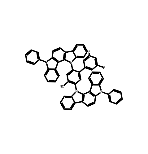 N#Cc1cc(-n2c3ccccc3c3ccc4c(c5ccccc5n4-c4ccccc4)c32)c(-c2cc(F)cc(F)c2)cc1-n1c2ccccc2c2ccc3c(c4ccccc4n3-c3ccccc3)c21